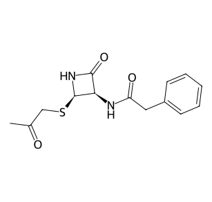 CC(=O)CS[C@H]1NC(=O)[C@H]1NC(=O)Cc1ccccc1